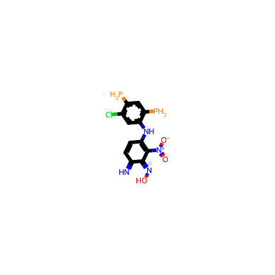 N=C1C=CC(Nc2cc(Cl)c(P)cc2P)=C([N+](=O)[O-])/C1=N/O